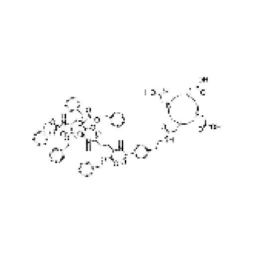 O=C(O)CN1CCN(CC(=O)O)CCN(CC(=O)NCCc2ccc(C(=O)N[C@H](CCC(=O)NC(CCOP(=O)(N[C@@H](CCC(=O)OCc3ccccc3)C(=O)OCc3ccccc3)OCc3ccccc3)C(=O)OCc3ccccc3)C(=O)OCc3ccccc3)cc2)CCN(CC(=O)O)CC1